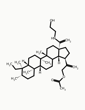 C=C(COC(C)=O)[C@@H]1CC[C@]2(C(=C)NCCO)CC[C@]3(C)C(CC[C@@H]4[C@@]5(C)CC[C@H](C)[C@@](C)(CC)[C@@H]5CC[C@]43C)[C@@H]12